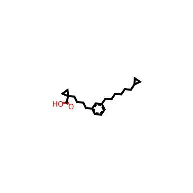 O=C(O)C1(CCCCc2cccc(CCCCCCC3CC3)c2)CC1